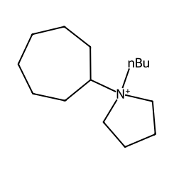 CCCC[N+]1(C2CCCCCC2)CCCC1